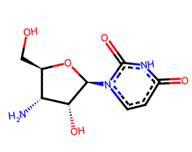 N[C@H]1[C@@H](O)[C@H](n2ccc(=O)[nH]c2=O)O[C@@H]1CO